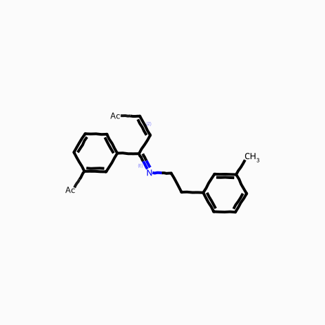 CC(=O)/C=C\C(=N/CCc1cccc(C)c1)c1cccc(C(C)=O)c1